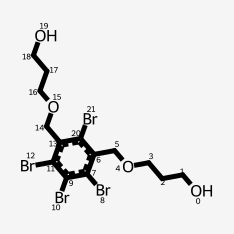 OCCCOCc1c(Br)c(Br)c(Br)c(COCCCO)c1Br